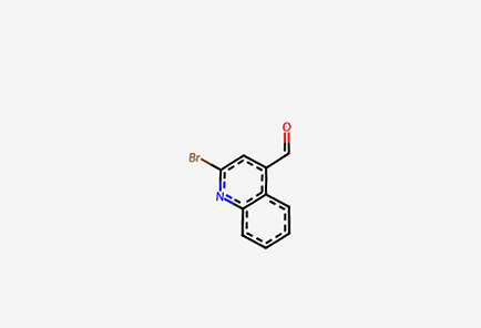 O=Cc1cc(Br)nc2ccccc12